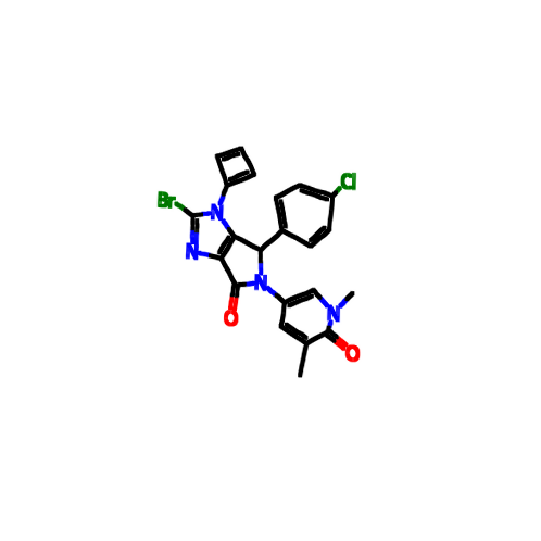 Cc1cc(N2C(=O)c3nc(Br)n(C4=CC=C4)c3C2c2ccc(Cl)cc2)cn(C)c1=O